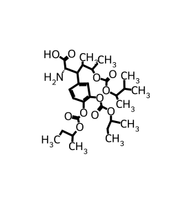 CCC(C)OC(=O)Oc1ccc(C(C(C)C(C)OC(=O)OC(C)C(C)C)[C@H](N)C(=O)O)cc1OC(=O)OC(C)CC